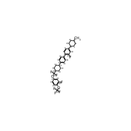 CC1CCC(c2ccc(-c3ccc(C4CCC(C(F)(F)Oc5ccc(OC(F)(F)F)c(F)c5)CC4)cc3)c(F)c2)CC1